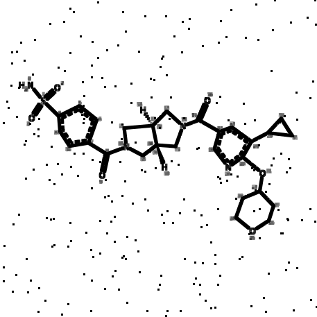 NS(=O)(=O)c1ccc(C(=O)N2C[C@H]3CN(C(=O)c4cnc(OC5CCOCC5)c(C5CC5)c4)C[C@@H]3C2)cc1